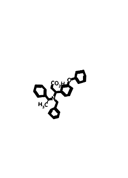 C[C@H](c1ccccc1)N(Cc1ccccc1)C(CC(=O)O)c1cccc(Oc2ccccc2)c1